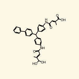 C/C(=C\C(=O)Nc1ccc(C(c2ccc(NC(=O)/C=C(\C)C(O)O)cc2)c2ccc(-c3ccccc3)cc2)cc1)C(=O)O